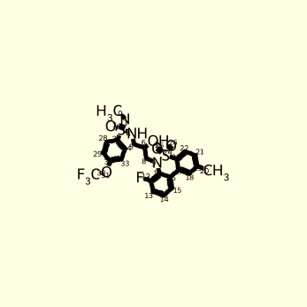 CN=S(=O)(NCC(O)CN1c2c(F)cccc2-c2cc(C)ccc2S1(=O)=O)c1ccc(OC(F)(F)F)cc1